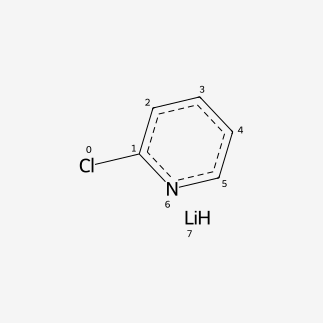 Clc1ccccn1.[LiH]